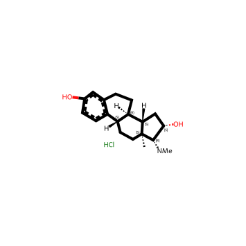 CN[C@H]1[C@@H](O)C[C@H]2[C@@H]3CCc4cc(O)ccc4[C@H]3CC[C@@]21C.Cl